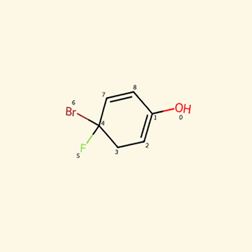 OC1=CCC(F)(Br)C=C1